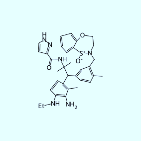 CCNc1ccc(C(c2ccc(C)c(CN3CCOc4ccccc4[S+]3[O-])c2)C(C)(C)NC(=O)c2cc[nH]n2)c(C)c1N